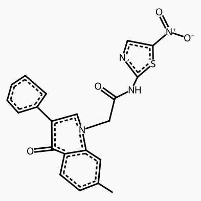 Cc1ccc2c(=O)c(-c3ccccc3)cn(CC(=O)Nc3ncc([N+](=O)[O-])s3)c2c1